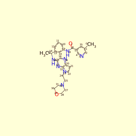 Cc1cncc(C(=O)Nc2cccc([C@H](C)Nc3cnc4ccn(CCN5CCOCC5)c4n3)c2)c1